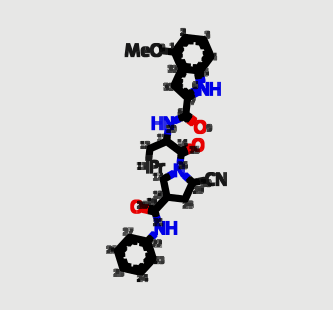 COc1cccc2[nH]c(C(=O)NC(CC(C)C)C(=O)N3CC(C(=O)Nc4ccccc4)CC3C#N)cc12